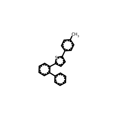 Cc1ccc(-c2ccc(-c3ccccc3-c3ccccc3)s2)cc1